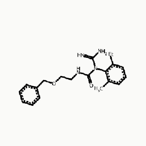 CCc1cccc(C)c1N(C(=N)N)C(=O)NCCOCc1ccccc1